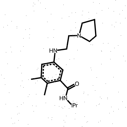 Cc1cc(NCCN2CCCC2)cc(C(=O)NC(C)C)c1C